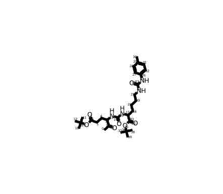 CC(=O)C(CCC(=O)OC(C)(C)C)NC(=O)NC(CCCCNC(=O)Nc1ccc(C)cc1)C(=O)OC(C)(C)C